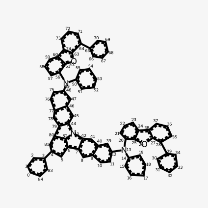 c1ccc(-c2cc3c4cc5ccc(N(c6ccccc6)c6cccc7c6oc6c(-c8ccccc8)cccc67)cc5cc4n4c5cc6cc(N(c7ccccc7)c7cccc8c7oc7c(-c9ccccc9)cccc78)ccc6cc5c(c2)c34)cc1